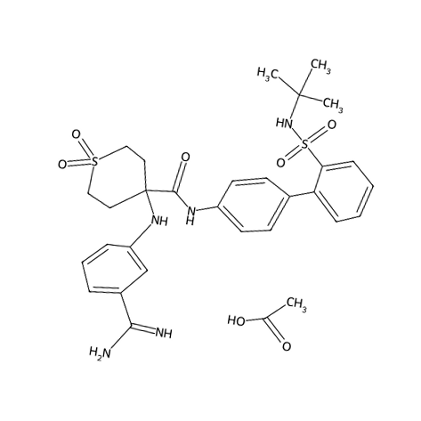 CC(=O)O.CC(C)(C)NS(=O)(=O)c1ccccc1-c1ccc(NC(=O)C2(Nc3cccc(C(=N)N)c3)CCS(=O)(=O)CC2)cc1